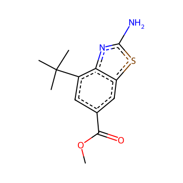 COC(=O)c1cc(C(C)(C)C)c2nc(N)sc2c1